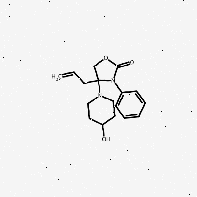 C=CCC1(N2CCC(O)CC2)COC(=O)N1c1ccccc1